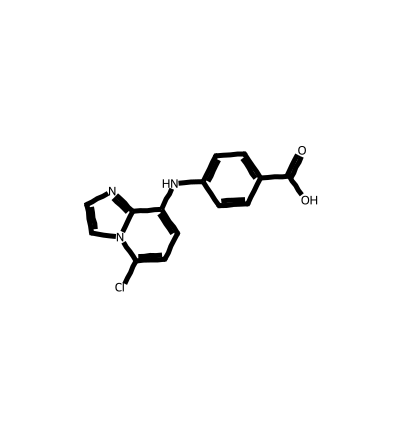 O=C(O)c1ccc(Nc2ccc(Cl)n3ccnc23)cc1